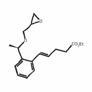 CCOC(=O)CC/C=C/c1ccccc1[C@@H](C)OCC1CO1